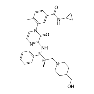 Cc1ccc(C(=O)NC2CC2)cc1-n1ccnc(N[C@@H](c2ccccc2)[C@H](C)CN2CCC(CO)CC2)c1=O